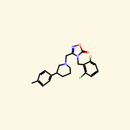 Cc1ccc(C2CCCN(Cc3noc(=O)n3Cc3c(F)cccc3Cl)C2)cc1